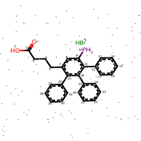 Br.O=C(O)CCCc1cc(P)c(-c2ccccc2)c(-c2ccccc2)c1-c1ccccc1